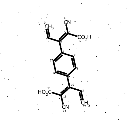 C=C/C(=C(\C#N)C(=O)O)c1ccc(/C(C=C)=C(/C#N)C(=O)O)cc1